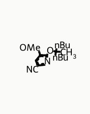 CCCCC(C)(CCCC)Oc1ncc(C#N)cc1OC